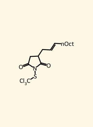 CCCCCCCCC=CCC1CC(=O)N(SC(Cl)(Cl)Cl)C1=O